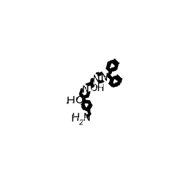 NCc1ccc(C2(O)CCN(CC(O)CN3CCN(C(c4ccccc4)c4ccccc4)CC3)CC2)cc1